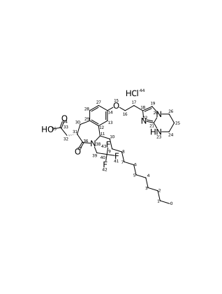 CCCCCCCCCCCC1c2cc(OCCc3cn4c(n3)NCCC4)ccc2C[C@@H](CC(=O)O)C(=O)N1CC(F)(F)F.Cl